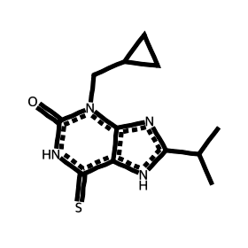 CC(C)c1nc2c([nH]1)c(=S)[nH]c(=O)n2CC1CC1